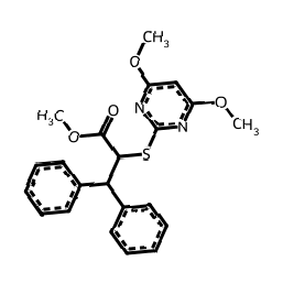 COC(=O)C(Sc1nc(OC)cc(OC)n1)C(c1ccccc1)c1ccccc1